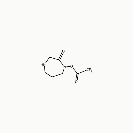 O=C1CNCCCN1OC(=O)C(F)(F)F